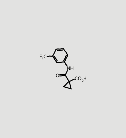 O=C(O)C1(C(=O)Nc2cccc(C(F)(F)F)c2)CC1